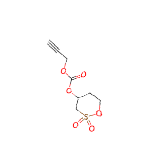 C#CCOC(=O)OC1CCOS(=O)(=O)C1